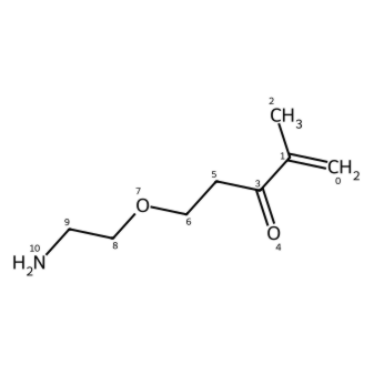 C=C(C)C(=O)CCOCCN